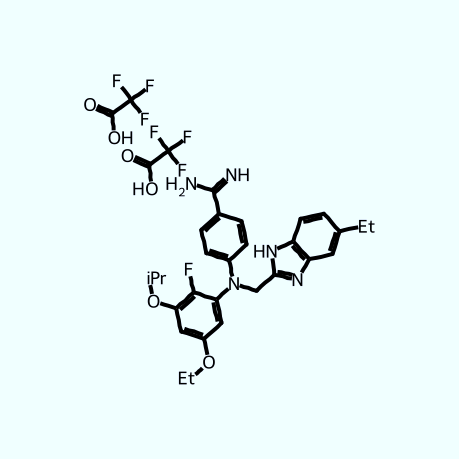 CCOc1cc(OC(C)C)c(F)c(N(Cc2nc3cc(CC)ccc3[nH]2)c2ccc(C(=N)N)cc2)c1.O=C(O)C(F)(F)F.O=C(O)C(F)(F)F